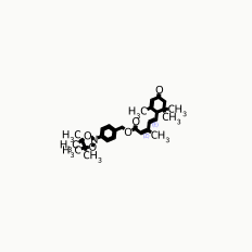 CC1=CC(=O)CC(C)(C)C1/C=C/C(C)=C\C(=O)OCc1ccc(N2OC(C)(C)C(C)(C)O2)cc1